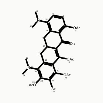 CC(=O)OC1=C2C(=O)c3c(OC(C)=O)ccc(N(C)C)c3CC2Cc2c1c(OC(C)=O)c(C(C)=O)c(OC(C)=O)c2N(C)C